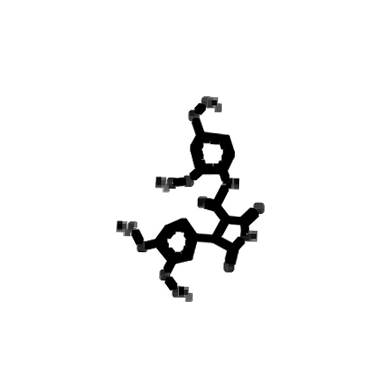 COc1ccc(NC(=O)C2C(=O)NC(=O)C2c2ccc(OC)c(OC)c2)c(OC)c1